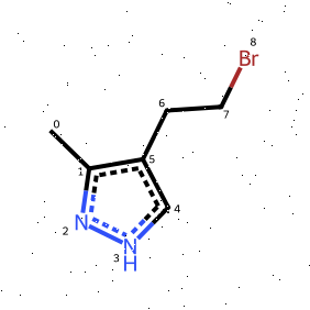 Cc1n[nH][c]c1CCBr